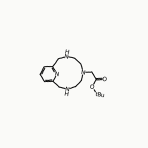 CC(C)(C)OC(=O)CN1CCNCc2cccc(n2)CNCC1